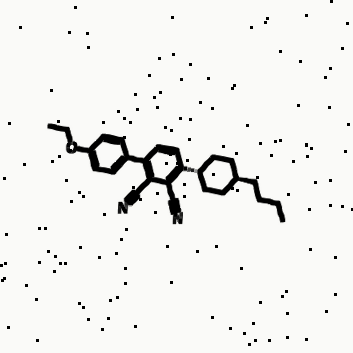 CCCC[C@H]1CC[C@H](c2ccc(-c3ccc(OCC)cc3)c(C#N)c2C#N)CC1